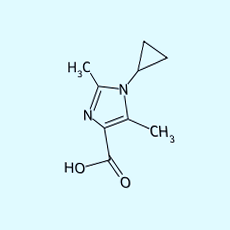 Cc1nc(C(=O)O)c(C)n1C1CC1